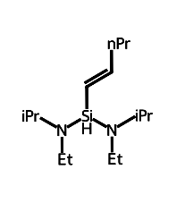 CCCC=C[SiH](N(CC)C(C)C)N(CC)C(C)C